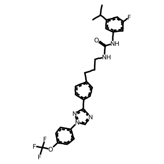 CC(C)c1cc(F)cc(NC(=O)NCCCc2ccc(-c3ncn(-c4ccc(OC(F)(F)F)cc4)n3)cc2)c1